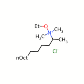 CCCCCCCCCCCCC(C)[N+](C)(C)OCC.[Cl-]